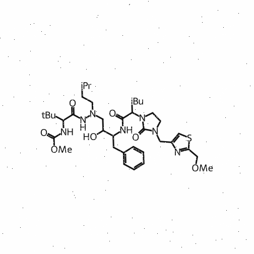 CCC(C)C(C(=O)NC(Cc1ccccc1)C(O)CN(CCC(C)C)NC(=O)C(NC(=O)OC)C(C)(C)C)N1CCN(Cc2csc(COC)n2)C1=O